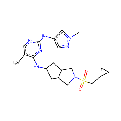 Cn1cc(Nc2ncc([SiH3])c(NC3CC4CN(S(=O)(=O)CC5CC5)CC4C3)n2)cn1